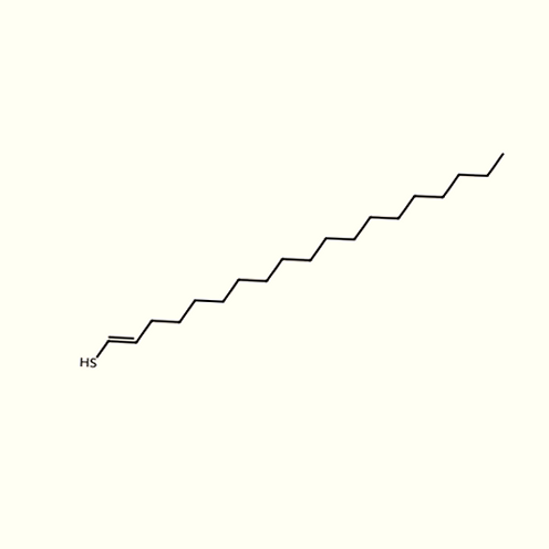 CCCCCCCCCCCCCCCCCC=CS